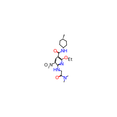 CCOc1nc(NCC(=O)N(C)C)c([N+](=O)[O-])cc1C(=O)N[C@H]1CC[C@H](C)CC1